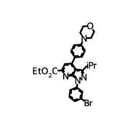 CCOC(=O)c1cc(-c2ccc(N3CCOCC3)cc2)c2c(C(C)C)nn(-c3cccc(Br)c3)c2n1